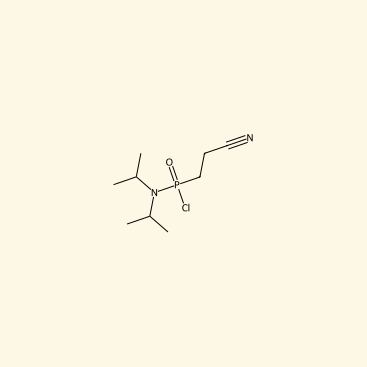 CC(C)N(C(C)C)P(=O)(Cl)CCC#N